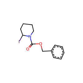 O=C(OCc1ccccc1)N1CCCCC1I